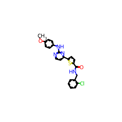 COc1ccc(Nc2nccc(-c3ccc(C(=O)NCc4ccccc4Cl)s3)n2)cc1